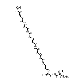 CCCCCCCCCCC(C)COCC(CC)OCCOCCOCCOCCOCCOCCOCCOCCO